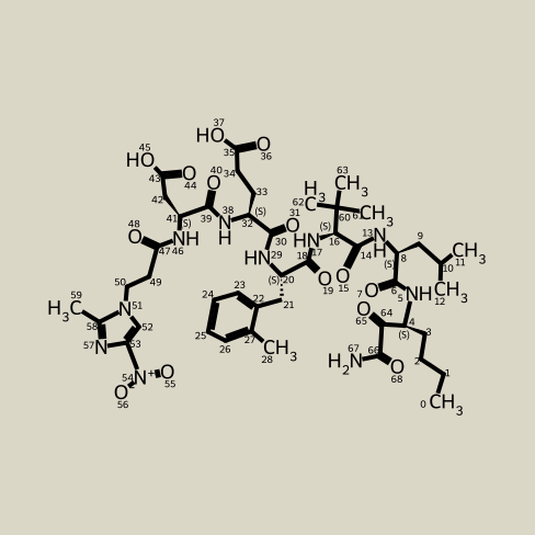 CCCC[C@H](NC(=O)[C@H](CC(C)C)NC(=O)[C@@H](NC(=O)[C@H](Cc1ccccc1C)NC(=O)[C@H](CCC(=O)O)NC(=O)[C@H](CC(=O)O)NC(=O)CCn1cc([N+](=O)[O-])nc1C)C(C)(C)C)C(=O)C(N)=O